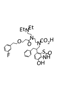 CCN(CC)CCN(CCN(CC(Cc1ccccc1)c1ccc(O)c2[nH]c(=O)sc12)C(=O)O)C(=O)CCOCCc1cccc(F)c1